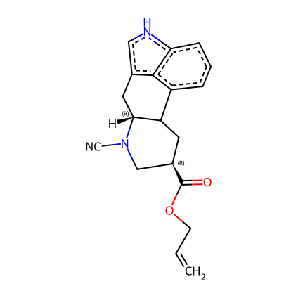 C=CCOC(=O)[C@@H]1CC2c3cccc4[nH]cc(c34)C[C@H]2N(C#N)C1